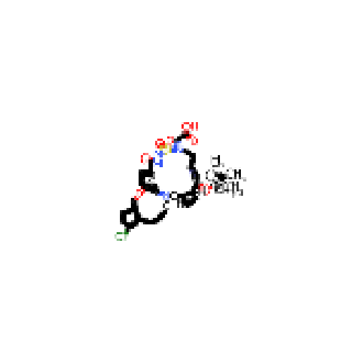 CC(C)(C)[Si](C)(C)OC1/C=C/CCN(CC(=O)O)S(=O)(=O)NC(=O)c2ccc3c(c2)N(CCCCc2cc(Cl)ccc2CO3)C[C@@H]2CC[C@@H]12